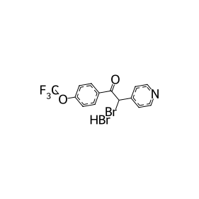 Br.O=C(c1ccc(OC(F)(F)F)cc1)C(Br)c1ccncc1